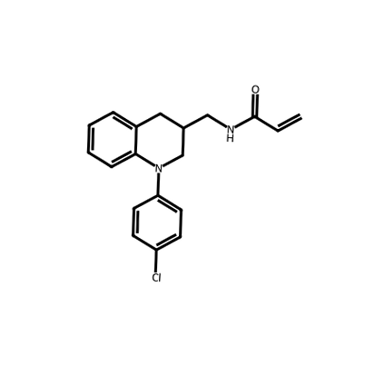 C=CC(=O)NCC1Cc2ccccc2N(c2ccc(Cl)cc2)C1